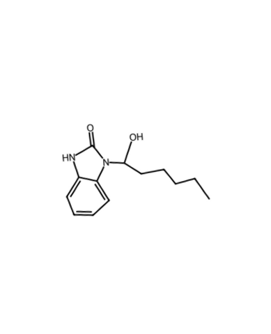 CCCCCC(O)n1c(=O)[nH]c2ccccc21